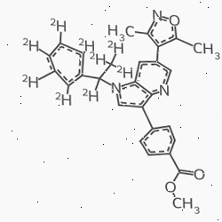 [2H]c1c([2H])c([2H])c(C([2H])(n2cc(-c3ccc(C(=O)OC)cc3)c3ncc(-c4c(C)noc4C)cc32)C([2H])([2H])[2H])c([2H])c1[2H]